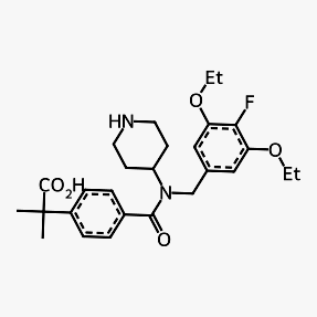 CCOc1cc(CN(C(=O)c2ccc(C(C)(C)C(=O)O)cc2)C2CCNCC2)cc(OCC)c1F